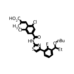 CCCCOC(CC)c1cccc(-c2csc(NC(=O)c3cc(Cl)c(/C=C(\C)C(=O)O)c(Cl)c3)n2)c1F